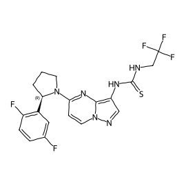 Fc1ccc(F)c([C@H]2CCCN2c2ccn3ncc(NC(=S)NCC(F)(F)F)c3n2)c1